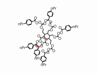 CCCc1ccc(C(=O)OOC(=O)OCCC(COC(=O)OOC(=O)c2ccc(CCC)cc2)C(COC(=O)OOC(=O)c2ccc(CCC)cc2)C(COC(=O)OOC(=O)c2ccc(CCC)cc2)C(CCOC(=O)OOC(=O)c2ccc(CCC)cc2)COC(=O)OOC(=O)c2ccc(CCC)cc2)cc1